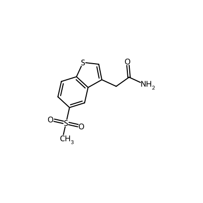 CS(=O)(=O)c1ccc2scc(CC(N)=O)c2c1